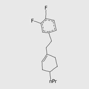 CCCC1CC=C(CCc2ccc(F)c(F)c2)CC1